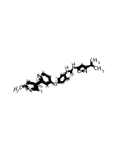 CC(C)c1cc(NC(=O)Nc2ccc(Oc3ccnc(-c4cnn(C)c4)c3)cc2F)on1